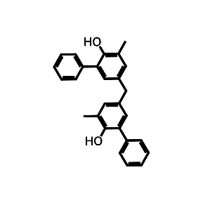 Cc1cc(Cc2cc(C)c(O)c(-c3ccccc3)c2)cc(-c2ccccc2)c1O